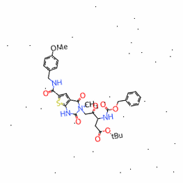 COc1ccc(CNC(=O)c2cc3c(s2)NC(=O)[N+](C)(CC(=O)C(CC(=O)OC(C)(C)C)NC(=O)OCc2ccccc2)C3=O)cc1